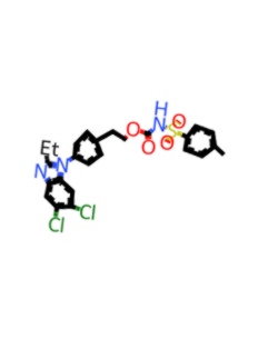 CCc1nc2cc(Cl)c(Cl)cc2n1-c1ccc(CCOC(=O)NS(=O)(=O)c2ccc(C)cc2)cc1